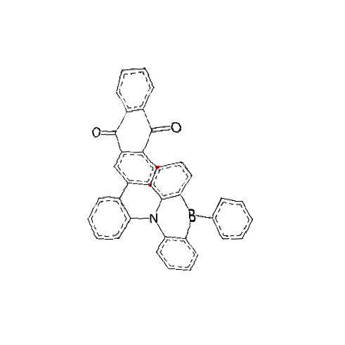 O=C1c2ccccc2C(=O)c2cc(-c3ccccc3N3c4ccccc4B(c4ccccc4)c4ccccc43)ccc21